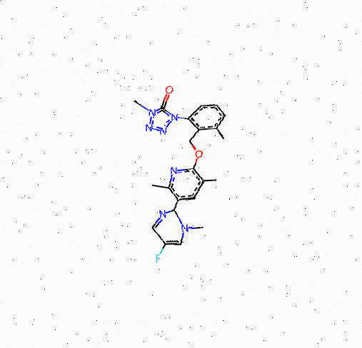 Cc1cc(C2N=CC(F)=CN2C)c(C)nc1OCc1c(C)cccc1-n1nnn(C)c1=O